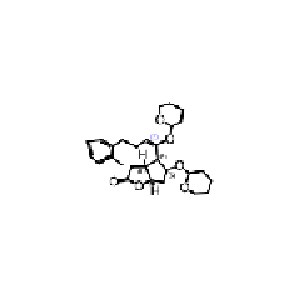 Cc1ccccc1CC/C=C(/OC1CCCCO1)[C@@H]1[C@H]2CC(=O)O[C@H]2C[C@@H]1OC1CCCCO1